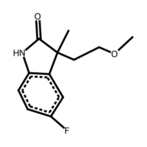 COCCC1(C)C(=O)Nc2ccc(F)cc21